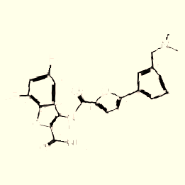 CN(C)Cc1cccc(-c2ccc(C(=O)Nc3c(C(N)=O)oc4c(F)cc(F)cc34)o2)c1